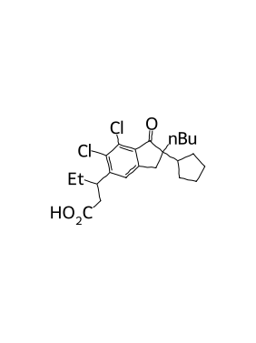 CCCCC1(C2CCCC2)Cc2cc(C(CC)CC(=O)O)c(Cl)c(Cl)c2C1=O